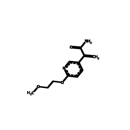 C=C(C(N)=O)c1ccc(OCCOC)nc1